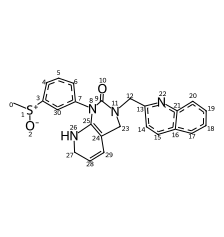 C[S+]([O-])c1cccc(N2C(=O)N(Cc3ccc4ccccc4n3)CC3=C2NCC=C3)c1